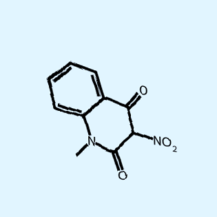 CN1C(=O)C([N+](=O)[O-])C(=O)c2ccccc21